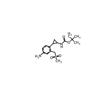 CC(C)(C)OC(=O)NC1CC1c1ccc(N)cc1CS(C)(=O)=O